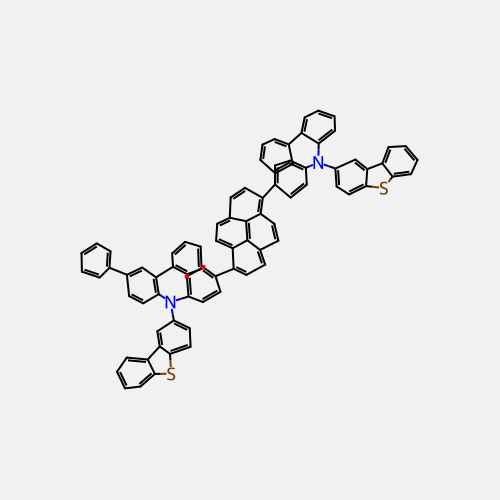 c1ccc(-c2ccc(N(c3ccc(-c4ccc5ccc6c(-c7ccc(N(c8ccc9sc%10ccccc%10c9c8)c8ccccc8-c8ccccc8)cc7)ccc7ccc4c5c76)cc3)c3ccc4sc5ccccc5c4c3)c(-c3ccccc3)c2)cc1